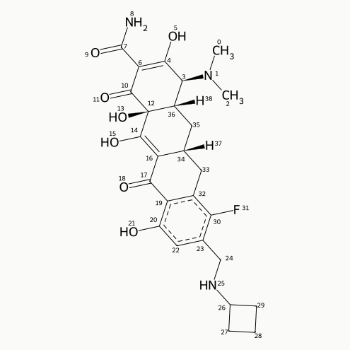 CN(C)[C@@H]1C(O)=C(C(N)=O)C(=O)[C@@]2(O)C(O)=C3C(=O)c4c(O)cc(CNC5CCC5)c(F)c4C[C@H]3C[C@@H]12